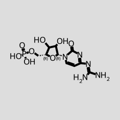 NC(N)=Nc1ccn([C@@H]2O[C@H](COP(=O)(O)O)C(O)C2O)c(=O)n1